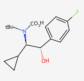 CC(C)(C)N(C(=O)O)[C@H](C1CC1)[C@@H](O)c1ccc(F)cc1